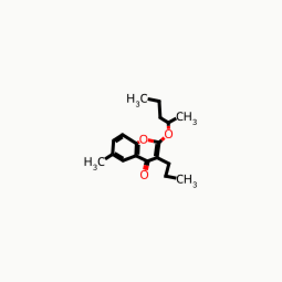 CCCc1c(OC(C)CCC)oc2ccc(C)cc2c1=O